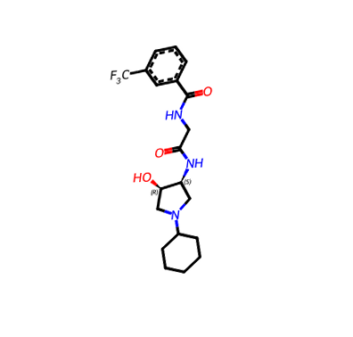 O=C(CNC(=O)c1cccc(C(F)(F)F)c1)N[C@H]1CN(C2CCCCC2)C[C@H]1O